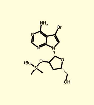 CC(C)(C)[Si](C)(C)OC1C[C@@H](CO)O[C@H]1n1cc(Br)c2c(N)ncnc21